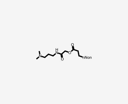 CCCCCCCCCCCC(=O)OCC(=O)NCCCN(C)C